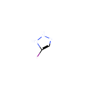 IC1=CNNN1